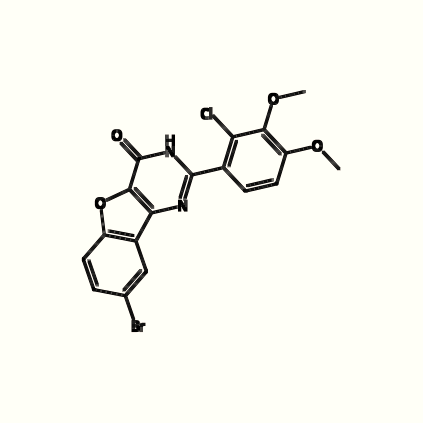 COc1ccc(-c2nc3c(oc4ccc(Br)cc43)c(=O)[nH]2)c(Cl)c1OC